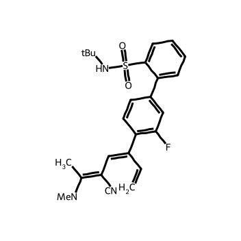 C=C/C(=C\C(C#N)=C(/C)NC)c1ccc(-c2ccccc2S(=O)(=O)NC(C)(C)C)cc1F